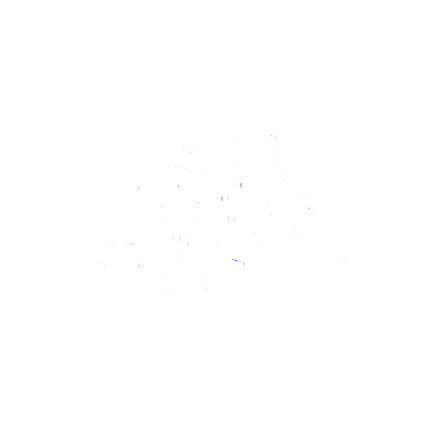 Cc1c([C@H](Nc2cc(C#N)c3ncc(C#N)c(NCC(C)(C)C)c3c2)C2=CN(C3(C(F)F)CC3)NN2)cccc1-n1cncn1